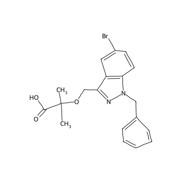 CC(C)(OCc1nn(Cc2ccccc2)c2ccc(Br)cc12)C(=O)O